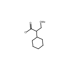 COCC(C(=O)Cl)C1CCCCC1